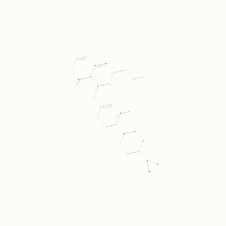 C/C=C/c1cc2cc[nH]c(=O)c2c(Nc2ccc(C3CCN(C4CC4)CC3)c(C)c2)n1